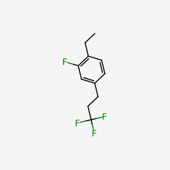 CCc1ccc(CCC(F)(F)F)cc1F